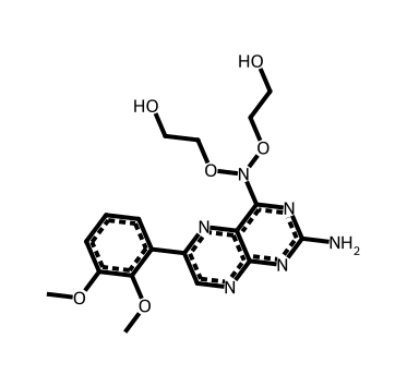 COc1cccc(-c2cnc3nc(N)nc(N(OCCO)OCCO)c3n2)c1OC